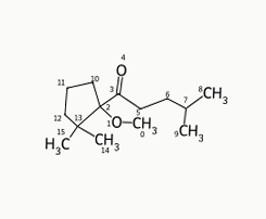 COC1(C(=O)CCC(C)C)CCCC1(C)C